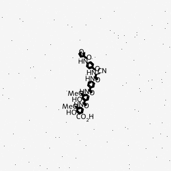 COc1c(NC(=O)c2ccc(NC(=O)c3ccc(NC(=O)[C@H](CC#N)NC(=O)c4ccc(NC(=O)c5ccoc5)cc4)cc3)c(OC)c2O)ccc(C(=O)O)c1O